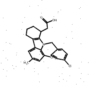 Cc1cc(C)c2c(c1)c1c(n2Cc2ccc(Cl)cc2)C(CC(=O)O)CCC1